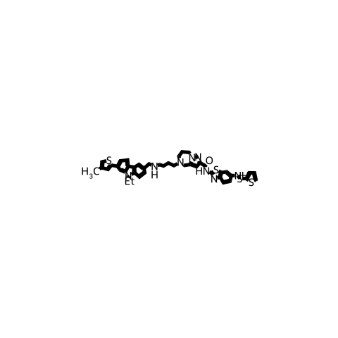 CCn1c2ccc(CNCCCCN3CCCn4nc(C(=O)Nc5nc6ccc(NSc7cccs7)cc6s5)cc4C3)cc2c2ccc(-c3cc(C)cs3)cc21